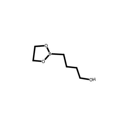 OCCCCB1OCCO1